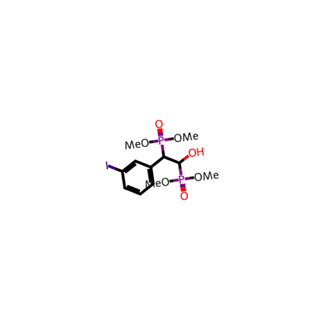 COP(=O)(OC)C(O)C(c1cccc(I)c1)P(=O)(OC)OC